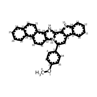 COc1ccc(-c2cc3c4ccccc4sc3c3nc4c5ccc6ccccc6c5ccc4n23)cc1